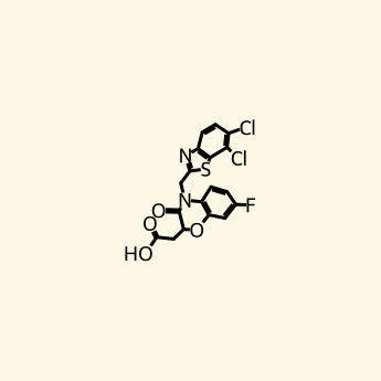 O=C(O)CC1Oc2cc(F)ccc2N(Cc2nc3ccc(Cl)c(Cl)c3s2)C1=O